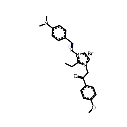 CCc1n(CC(=O)c2ccc(OC)cc2)cc[n+]1/N=C/c1ccc(N(C)C)cc1.[Br-]